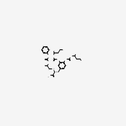 CCCC(C)OC(=O)Oc1ccc(C[C@H](NCC(C)OC(=O)Oc2ccccc2)C(=O)OC)cc1OC(=O)OC(C)CCC